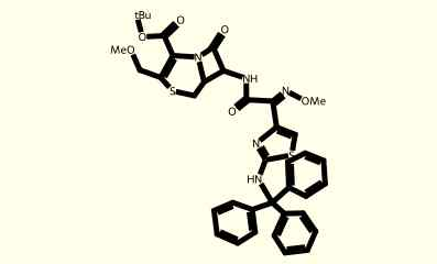 COCC1=C(C(=O)OC(C)(C)C)N2C(=O)C(NC(=O)C(=NOC)c3csc(NC(c4ccccc4)(c4ccccc4)c4ccccc4)n3)C2CS1